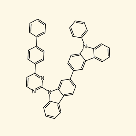 c1ccc(-c2ccc(-c3ccnc(-n4c5ccccc5c5ccc(-c6ccc7c(c6)c6ccccc6n7-c6ccccc6)cc54)n3)cc2)cc1